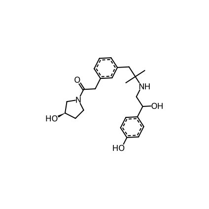 CC(C)(Cc1cccc(CC(=O)N2CC[C@@H](O)C2)c1)NCC(O)c1ccc(O)cc1